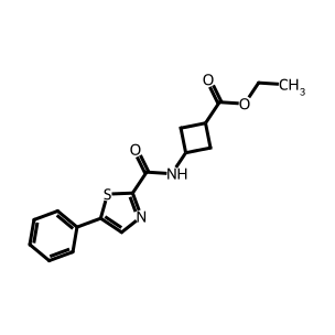 CCOC(=O)C1CC(NC(=O)c2ncc(-c3ccccc3)s2)C1